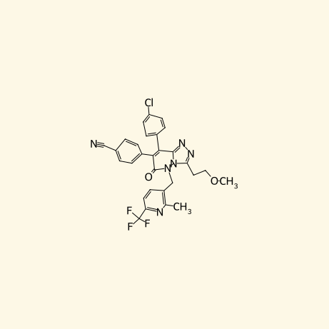 COCCc1nnc2c(-c3ccc(Cl)cc3)c(-c3ccc(C#N)cc3)c(=O)n(Cc3ccc(C(F)(F)F)nc3C)n12